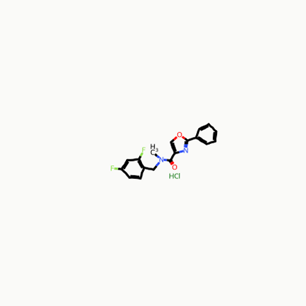 CN(Cc1ccc(F)cc1F)C(=O)c1coc(-c2ccccc2)n1.Cl